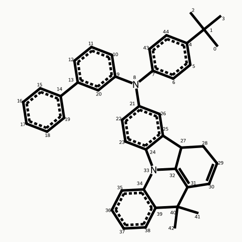 CC(C)(C)c1ccc(N(c2cccc(-c3ccccc3)c2)c2ccc3c(c2)C2CC=CC4=C2N3c2ccccc2C4(C)C)cc1